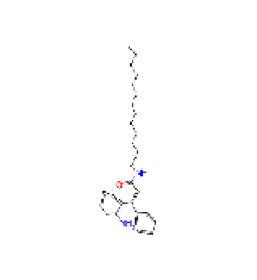 CCCCCCCCCCCCCNC(=O)C=C(c1ccccc1)c1ccccc1N